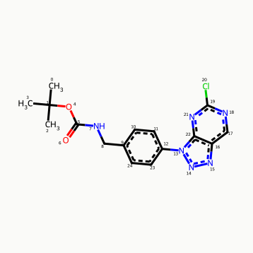 CC(C)(C)OC(=O)NCc1ccc(-n2nnc3cnc(Cl)nc32)cc1